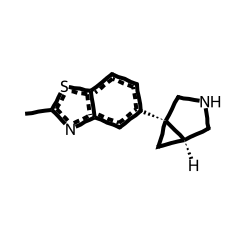 Cc1nc2cc([C@]34CNC[C@H]3C4)ccc2s1